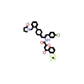 O=C(N/C(C=C1CCC(c2ccccc2CN2CCCC2=O)CC1)=C\c1ccc(Cl)cc1)c1cc(=O)c2cc(SC(F)(F)F)ccc2o1